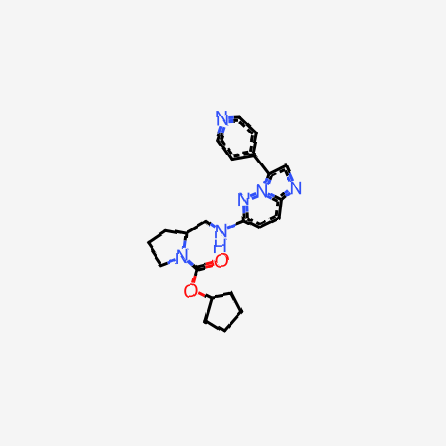 O=C(OC1CCCC1)N1CCCC1CNc1ccc2ncc(-c3ccncc3)n2n1